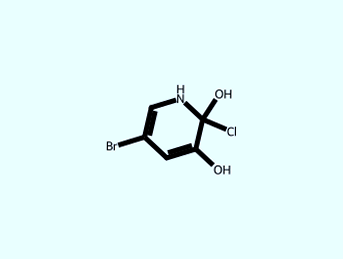 OC1=CC(Br)=CNC1(O)Cl